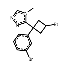 CCC1CC(c2cccc(Br)c2)(c2nncn2C)C1